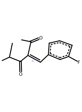 CC(=O)/C(=C\c1cccc(F)c1)C(=O)C(C)C